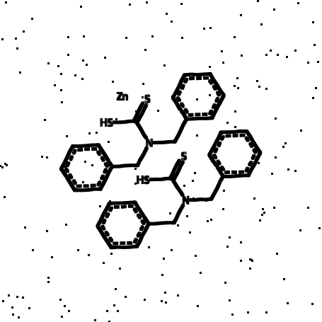 S=C(S)N(Cc1ccccc1)Cc1ccccc1.S=C(S)N(Cc1ccccc1)Cc1ccccc1.[Zn]